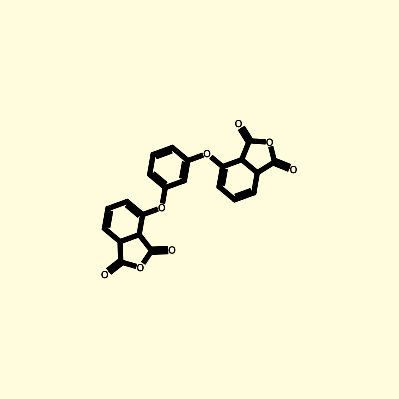 O=C1OC(=O)C2C(Oc3cccc(OC4=CC=CC5C(=O)OC(=O)C45)c3)=CC=CC12